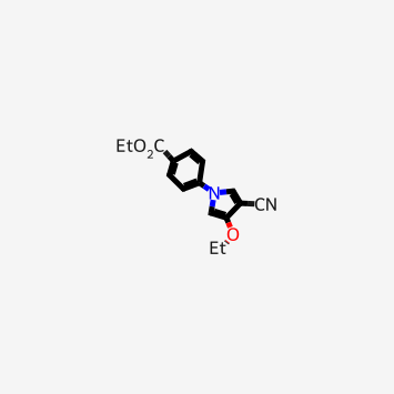 CCOC(=O)c1ccc(-n2cc(C#N)c(OCC)c2)cc1